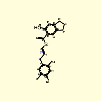 C=C(S/C=C/Cc1cc(C)c(I)cc1C)c1cc2c(cc1O)CCC2